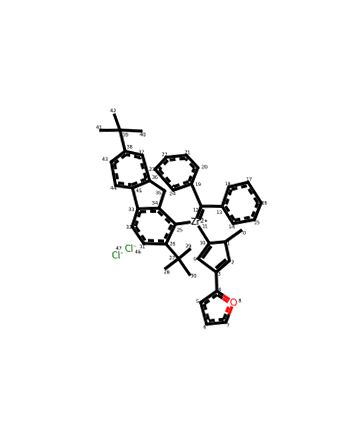 CC1C=C(c2ccco2)C=[C]1[Zr+2](=[C](c1ccccc1)c1ccccc1)[c]1c(C(C)(C)C)ccc2c1Cc1cc(C(C)(C)C)ccc1-2.[Cl-].[Cl-]